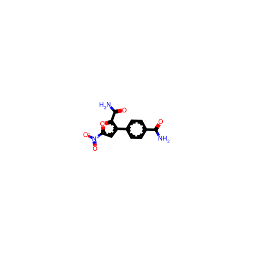 NC(=O)c1ccc(-c2cc([N+](=O)[O-])oc2C(N)=O)cc1